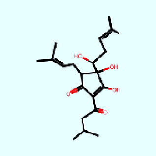 CC(C)=CCC1C(=O)C(C(=O)CC(C)C)=C(O)C1(O)[C@@H](O)CC=C(C)C